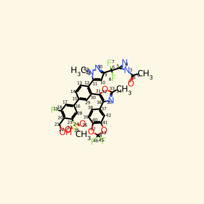 CC(=O)N1N=C1C(F)(F)c1cc(-c2ccc(-c3cc(F)c(CO)c(S(C)(=O)=O)c3)cc2-c2oc(C)nc2-c2ccc3c(c2)OC(F)(F)O3)n(C)n1